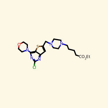 CCOC(=O)CCCCN1CCN(Cc2cc3nc(Cl)nc(N4CCOCC4)c3s2)CC1